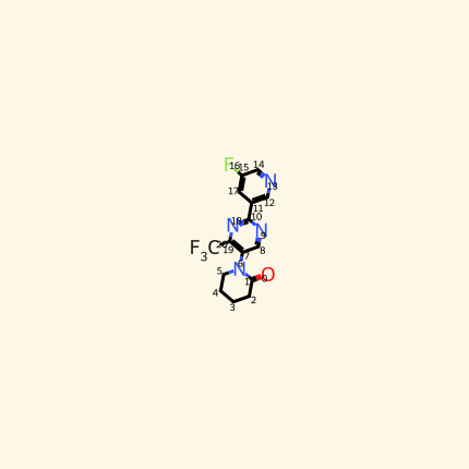 O=C1CCCCN1c1cnc(-c2cncc(F)c2)nc1C(F)(F)F